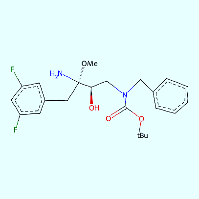 CO[C@@](N)(Cc1cc(F)cc(F)c1)[C@H](O)CN(Cc1ccccc1)C(=O)OC(C)(C)C